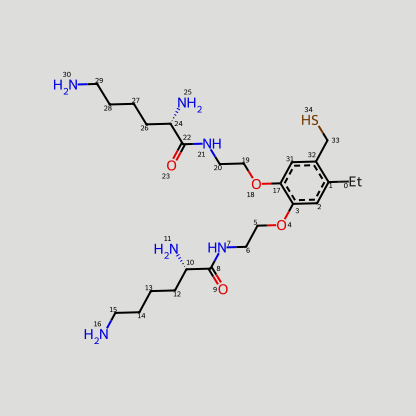 CCc1cc(OCCNC(=O)[C@@H](N)CCCCN)c(OCCNC(=O)[C@@H](N)CCCCN)cc1CS